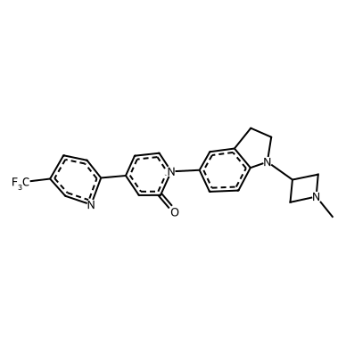 CN1CC(N2CCc3cc(-n4ccc(-c5ccc(C(F)(F)F)cn5)cc4=O)ccc32)C1